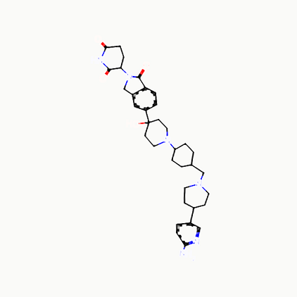 Nc1ccc(C2CCN(CC3CCC(N4CCC(O)(c5ccc6c(c5)CN(C5CCC(=O)NC5=O)C6=O)CC4)CC3)CC2)cn1